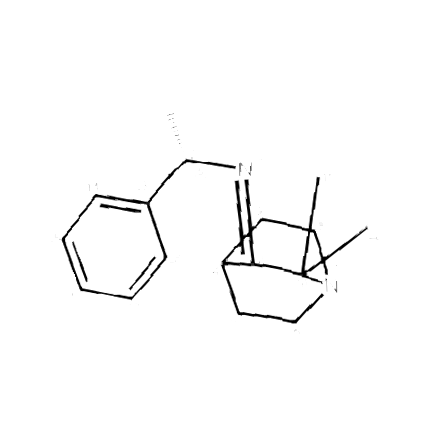 C[C@H](N=C1C2CCN(CC2)C1(C)C)c1ccccc1